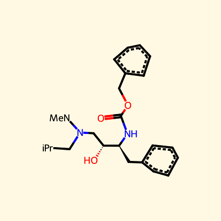 CNN(CC(C)C)C[C@@H](O)[C@H](Cc1ccccc1)NC(=O)OCc1ccccc1